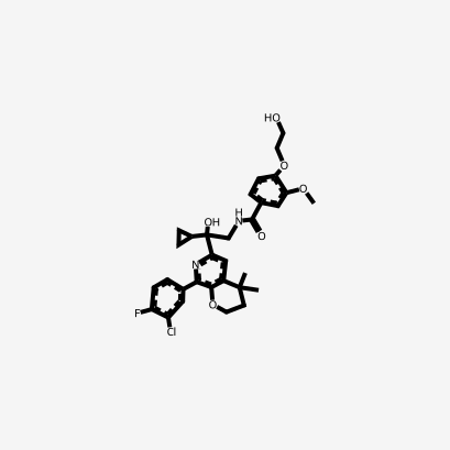 COc1cc(C(=O)NCC(O)(c2cc3c(c(-c4ccc(F)c(Cl)c4)n2)OCCC3(C)C)C2CC2)ccc1OCCO